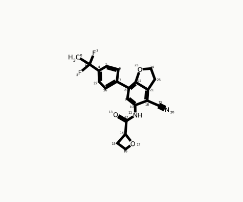 CC(F)(F)c1ccc(-c2cc(NC(=O)C3CCO3)c(C#N)c3c2OCC3)cc1